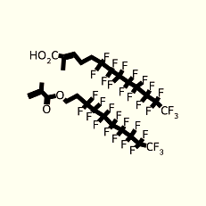 C=C(C)C(=O)OCCC(F)(F)C(F)(F)C(F)(F)C(F)(F)C(F)(F)C(F)(F)C(F)(F)C(F)(F)F.CC(=CCCC(F)(F)C(F)(F)C(F)(F)C(F)(F)C(F)(F)C(F)(F)C(F)(F)C(F)(F)F)C(=O)O